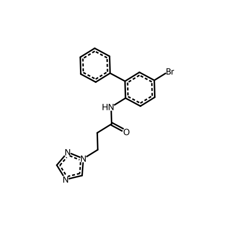 O=C(CCn1cncn1)Nc1ccc(Br)cc1-c1ccccc1